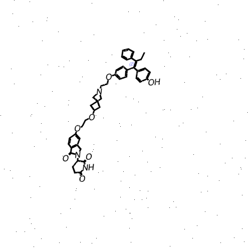 CC/C(=C(\c1ccc(O)cc1)c1ccc(OCCN2CC3(CC(OCCOc4ccc5c(c4)CN(C4CCC(=O)NC4=O)C5=O)C3)C2)cc1)c1ccccc1